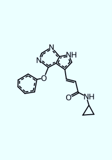 O=C(C=Cc1c[nH]c2ncnc(Oc3ccccc3)c12)NC1CC1